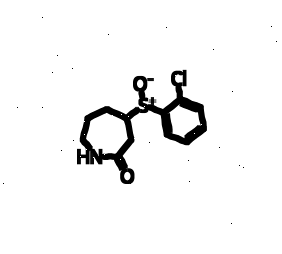 O=C1CC([S+]([O-])c2ccccc2Cl)CCCN1